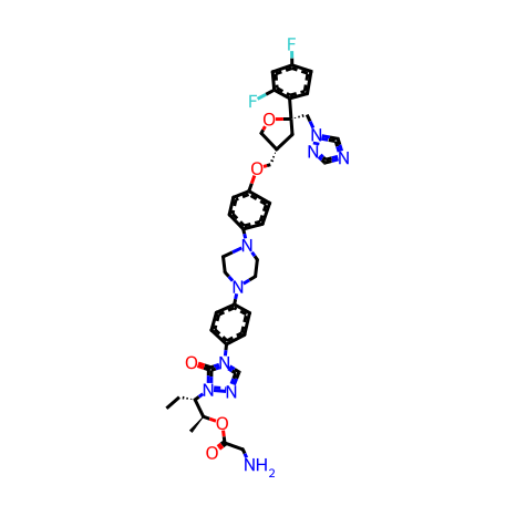 CC[C@@H]([C@H](C)OC(=O)CN)n1ncn(-c2ccc(N3CCN(c4ccc(OC[C@@H]5CO[C@@](Cn6cncn6)(c6ccc(F)cc6F)C5)cc4)CC3)cc2)c1=O